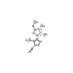 N#Cc1cnn([C@@H]2O[C@@H](CO)[C@H](O)[C@@H]2O)c1N